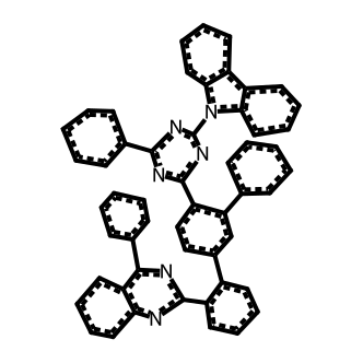 c1ccc(-c2nc(-c3ccc(-c4ccccc4-c4nc(-c5ccccc5)c5ccccc5n4)cc3-c3ccccc3)nc(-n3c4ccccc4c4ccccc43)n2)cc1